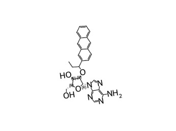 CCC(O[C@@H]1[C@H](O)[C@@H](CO)O[C@H]1n1cnc2c(N)ncnc21)c1ccc2cc3ccccc3cc2c1